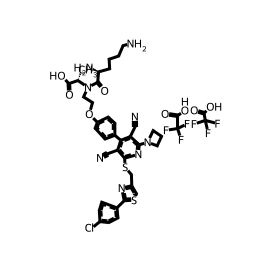 C[C@@H](C(=O)O)N(CCOc1ccc(-c2c(C#N)c(SCc3csc(-c4ccc(Cl)cc4)n3)nc(N3CCC3)c2C#N)cc1)C(=O)[C@@H](N)CCCCN.O=C(O)C(F)(F)F.O=C(O)C(F)(F)F